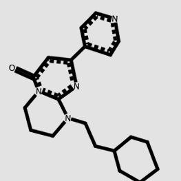 O=c1cc(-c2ccncc2)nc2n1CCCN2CCC1CCCCC1